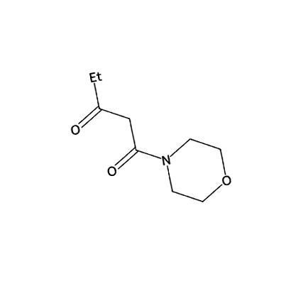 CCC(=O)CC(=O)N1CCOCC1